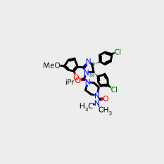 COc1ccc(C2=N[C@H](c3ccc(Cl)cc3)[C@H](c3ccc(Cl)cc3)N2C(=O)N2CCN(C(=O)N(C)C)CC2)c(OC(C)C)c1